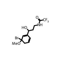 COC1(Br)C=C(C(O)CCNC(=O)C(F)(F)F)C=CC1